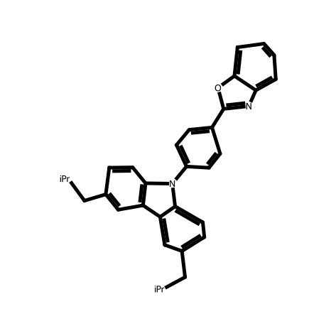 CC(C)Cc1ccc2c(c1)c1cc(CC(C)C)ccc1n2-c1ccc(-c2nc3ccccc3o2)cc1